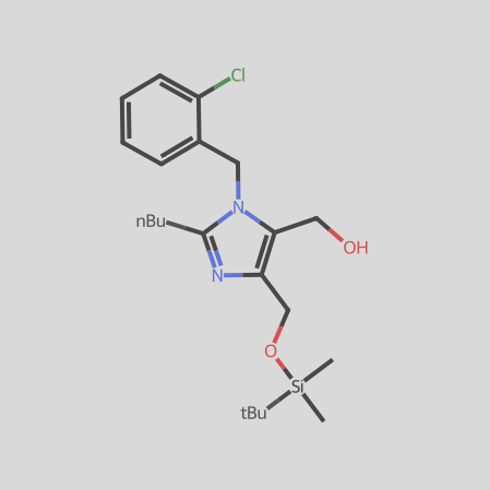 CCCCc1nc(CO[Si](C)(C)C(C)(C)C)c(CO)n1Cc1ccccc1Cl